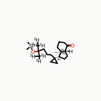 [2H]C([2H])([2H])C(CCCC1([C@H]2CC[C@H]3C(=O)CCC[C@]23C)CC1)(O[Si](C)(C)C)C([2H])([2H])[2H]